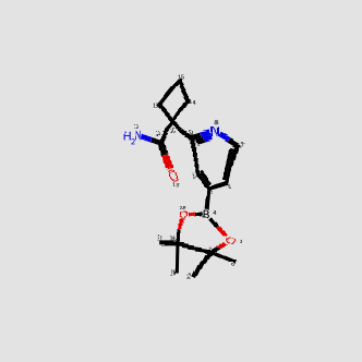 CC1(C)OB(c2ccnc(C3(C(N)=O)CCC3)c2)OC1(C)C